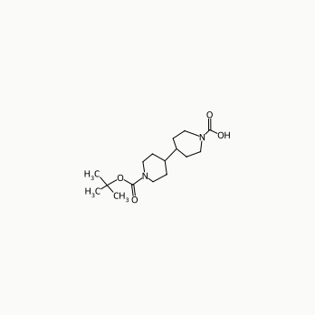 CC(C)(C)OC(=O)N1CCC(C2CCN(C(=O)O)CC2)CC1